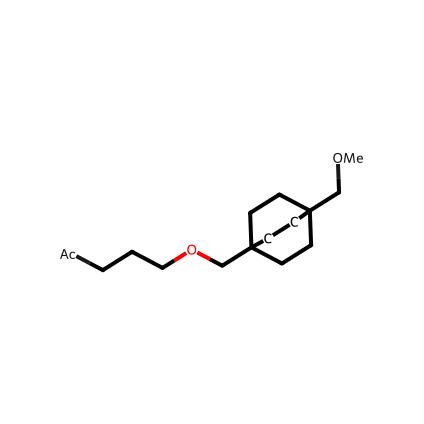 COCC12CCC(COCCCC(C)=O)(CC1)CC2